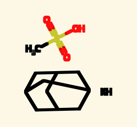 C1C2CC3CC1CC(C2)C3.CS(=O)(=O)O.[KH]